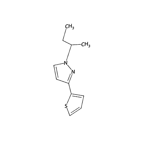 CCC(C)n1ccc(-c2cccs2)n1